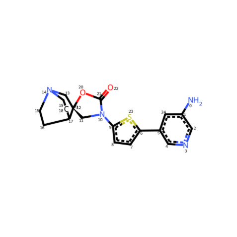 Nc1cncc(-c2ccc(N3C[C@@]4(CN5CCC4CC5)OC3=O)s2)c1